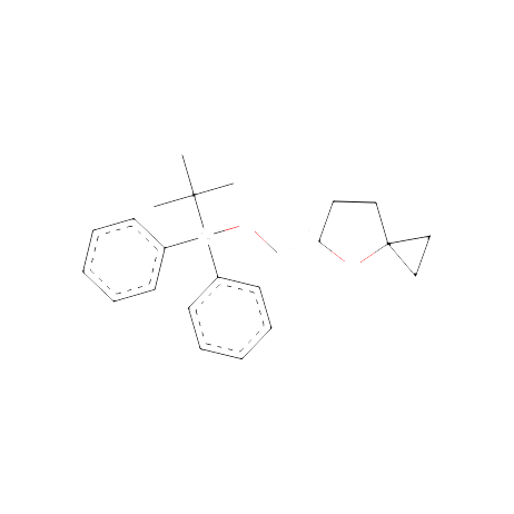 CC(C)(C)[Si](OC[C@@H]1CCC2(CC2)O1)(c1ccccc1)c1ccccc1